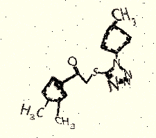 Cc1ccc(-n2nnnc2SCC(=O)c2ccc(C)c(C)c2)cc1